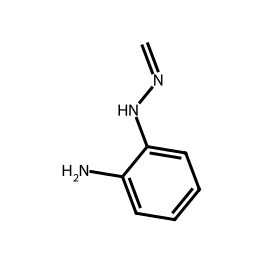 C=NNc1ccccc1N